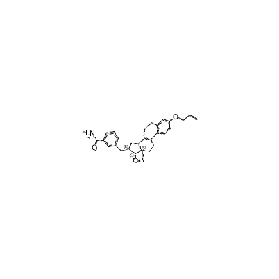 C=CCOc1ccc2c(c1)CCC1C2CC[C@@]2(C)C1C[C@H](Cc1cccc(C(N)=O)c1)[C@@H]2O